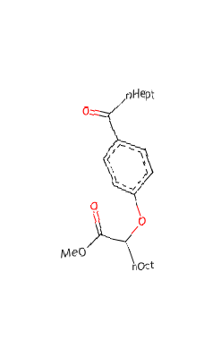 CCCCCCCCC(Oc1ccc(C(=O)CCCCCCC)cc1)C(=O)OC